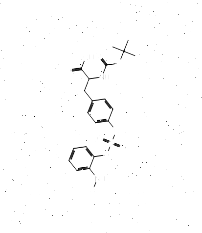 CC(C)(C)OC(=O)NC(Cc1ccc(OS(=O)(=O)Oc2ccccc2NO)cc1)C(=O)O